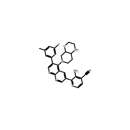 Cc1cc(F)cc(-c2cnc3ncc(-c4nccc(C#N)c4N)cc3c2N2CCC3NCCOC3C2)c1